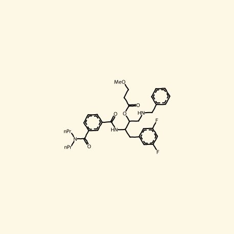 CCCN(CCC)C(=O)c1cccc(C(=O)NC(Cc2cc(F)cc(F)c2)C(CNCc2ccccc2)OC(=O)CCOC)c1